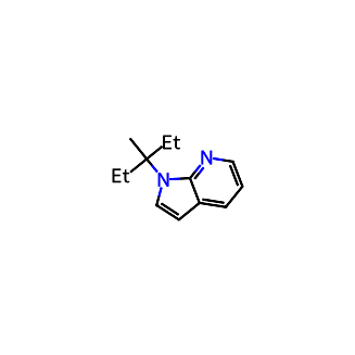 CCC(C)(CC)n1ccc2cccnc21